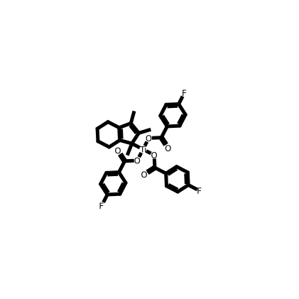 CC1=C(C)[C](C)([Ti]([O]C(=O)c2ccc(F)cc2)([O]C(=O)c2ccc(F)cc2)[O]C(=O)c2ccc(F)cc2)C2=C1CCCC2